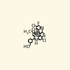 CC(C)N1C=C([C@@H](Nc2cc(Cl)c3ncc(C#N)c(Nc4ccc(F)c(Cl)c4)c3c2)c2cccc(CO)c2)NN1